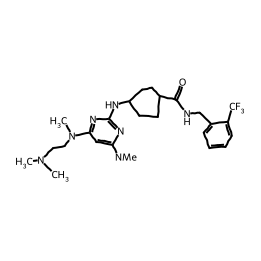 CNc1cc(N(C)CCN(C)C)nc(NC2CCC(C(=O)NCc3ccccc3C(F)(F)F)CC2)n1